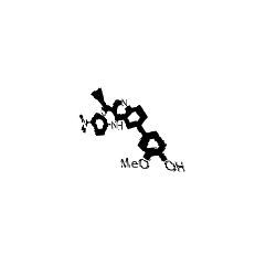 COc1cc(-c2ccc3ncc(C(=O)C4CC4)c(N[C@H]4CC[C@H](N(C)C)CC4)c3c2)ccc1O